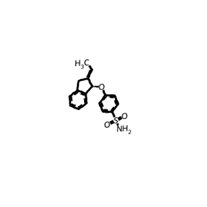 C/C=C1\Cc2ccccc2[C@@H]1Oc1ccc(S(N)(=O)=O)cc1